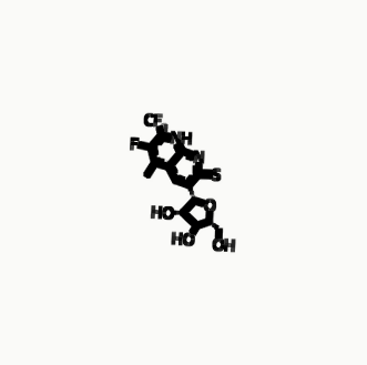 Cc1c2cc([C@@H]3O[C@H](CO)C(O)[C@@H]3O)c(=S)nc-2[nH]c(C(F)(F)F)c1F